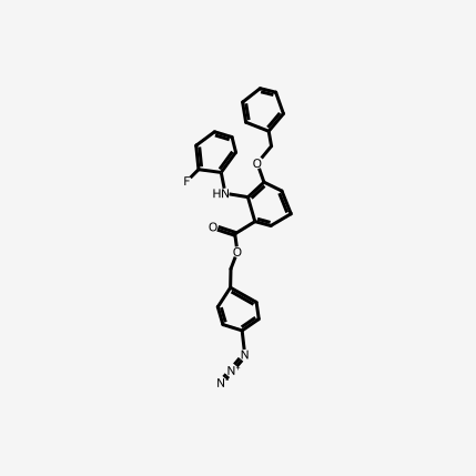 [N-]=[N+]=Nc1ccc(COC(=O)c2cccc(OCc3ccccc3)c2Nc2ccccc2F)cc1